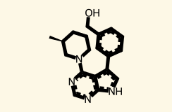 C[C@H]1CCCN(c2ncnc3[nH]cc(-c4cccc(CO)c4)c23)C1